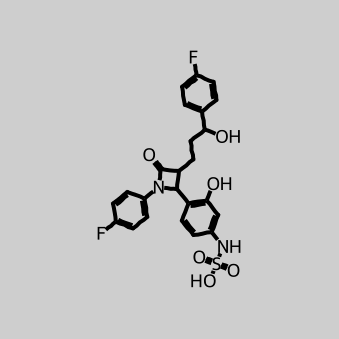 O=C1C(CCC(O)c2ccc(F)cc2)C(c2ccc(NS(=O)(=O)O)cc2O)N1c1ccc(F)cc1